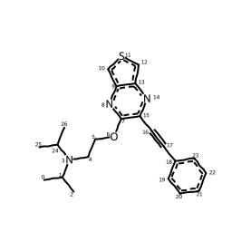 CC(C)N(CCOc1nc2cscc2nc1C#Cc1ccccc1)C(C)C